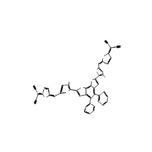 N#CC(C#N)=c1cc/c(=C\c2cc(F)c(-c3cc4c(-c5ccccc5)c(-c5ccccc5)c5cc(-c6sc(/C=c7\ccc(=C(C#N)C#N)s7)cc6F)sc5c4s3)s2)s1